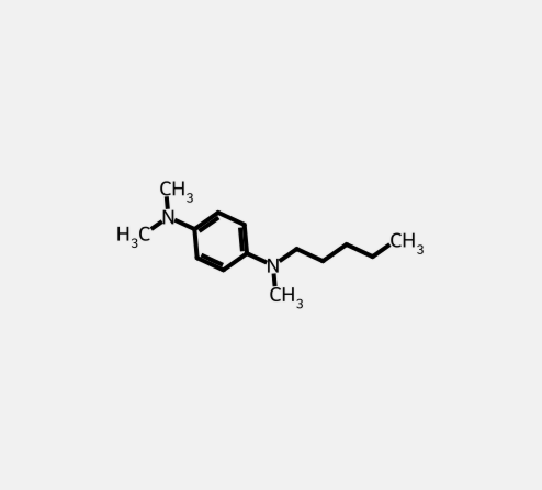 CCCCCN(C)c1ccc(N(C)C)cc1